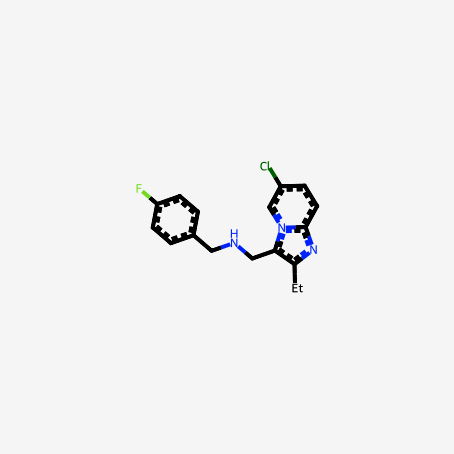 CCc1nc2ccc(Cl)cn2c1CNCc1ccc(F)cc1